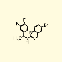 CC(Nc1ncc2cc(Br)ccc2n1)c1ccc(F)c(F)c1